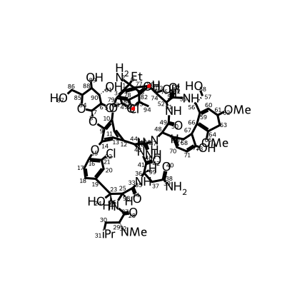 CCC1(N)C[C@H](OC2[C@@H](Oc3c4cc5cc3Oc3ccc(cc3Cl)[C@@H](O)[C@@H](NC(=O)[C@@H](CC(C)C)NC)C(=O)N[C@@H](CC(N)=O)C(=O)N[C@H]5C(=N)N[C@H]3C(=O)N[C@H](C(=O)N[C@H](CO)C5=CC(OC)CC(OC)=C5C5CC3=CC=C5O)[C@H](O)c3ccc(c(Cl)c3)O4)OC(CO)C(O)[C@@H]2O)OC(C)[C@H]1O